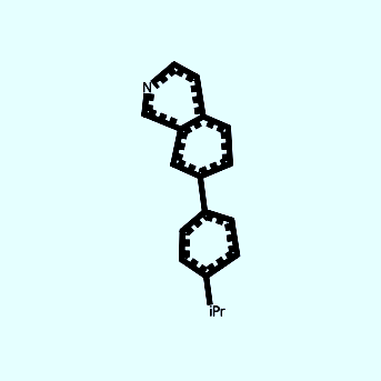 CC(C)c1ccc(-c2ccc3ccncc3c2)cc1